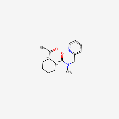 CN(Cc1ccccn1)C(=O)[C@@H]1CCCC[C@@H]1C(=O)C(C)(C)C